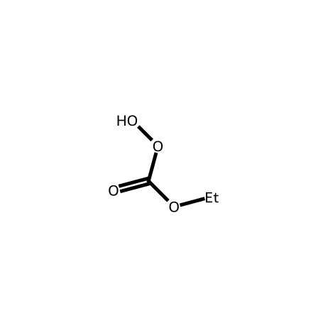 CCOC(=O)OO